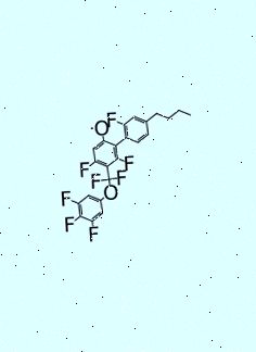 CCCCc1ccc(-c2c([O])cc(F)c(C(F)(F)Oc3cc(F)c(F)c(F)c3)c2F)c(F)c1